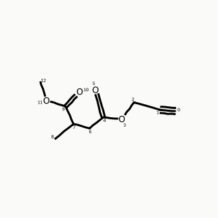 C#CCOC(=O)CC(C)C(=O)OC